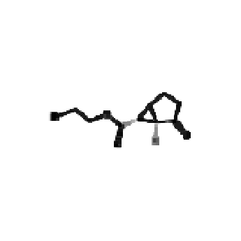 CC(C)CCOC(=O)[C@@H]1C2CCC(=O)[C@H]21